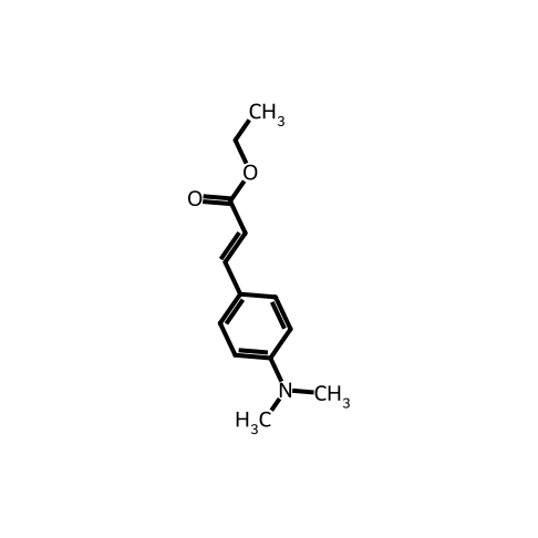 CCOC(=O)/C=C/c1ccc(N(C)C)cc1